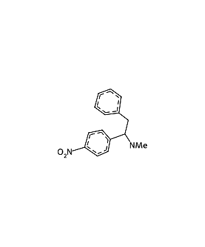 CNC(Cc1ccccc1)c1ccc([N+](=O)[O-])cc1